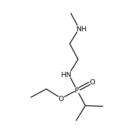 CCOP(=O)(NCCNC)C(C)C